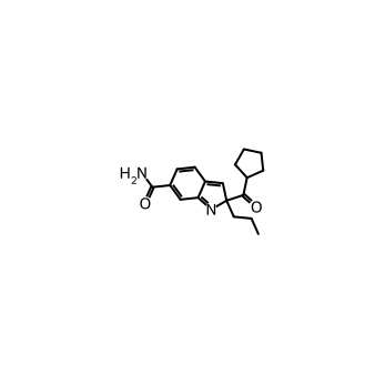 CCCC1(C(=O)C2CCCC2)C=c2ccc(C(N)=O)cc2=N1